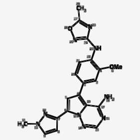 COc1cc(-c2cc(-c3ccn(C)n3)n3ncnc(N)c23)ccc1Nc1noc(C)n1